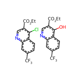 CCOC(=O)c1cnc2cc(C(F)(F)F)ccc2c1Cl.CCOC(=O)c1cnc2cc(C(F)(F)F)ccc2c1O